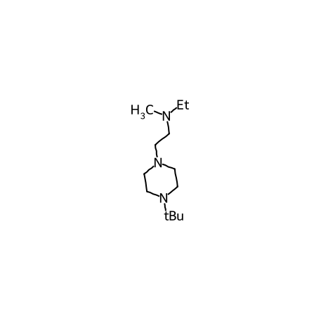 CCN(C)CCN1CCN(C(C)(C)C)CC1